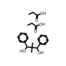 CC(C)(C(O)c1ccccc1)C(O)c1ccccc1.CCC(=O)O.CCC(=O)O